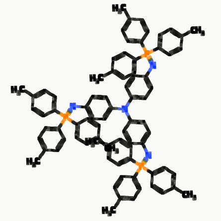 Cc1ccc(P(=Nc2ccc(N(c3ccc(N=P(c4ccc(C)cc4)(c4ccc(C)cc4)c4ccc(C)cc4)cc3)c3ccc(N=P(c4ccc(C)cc4)(c4ccc(C)cc4)c4ccc(C)cc4)cc3)cc2)(c2ccc(C)cc2)c2ccc(C)cc2)cc1